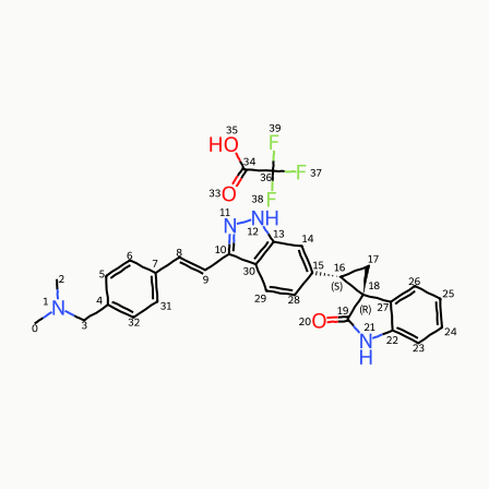 CN(C)Cc1ccc(C=Cc2n[nH]c3cc([C@@H]4C[C@@]45C(=O)Nc4ccccc45)ccc23)cc1.O=C(O)C(F)(F)F